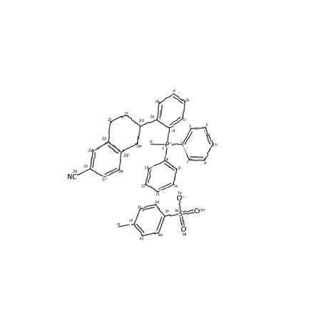 C[P+](c1ccccc1)(c1ccccc1)c1ccccc1C1CCc2cc(C#N)ccc2C1.Cc1ccc(S(=O)(=O)[O-])cc1